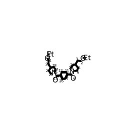 CCOCCC1CCN(C(=O)c2ccc(C(=O)N3CCC(CCOCC)CC3)cc2)CC1